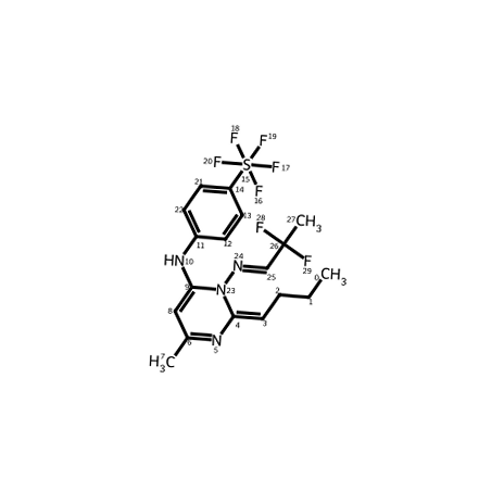 CCC/C=C1/N=C(C)C=C(Nc2ccc(S(F)(F)(F)(F)F)cc2)N1/N=C/C(C)(F)F